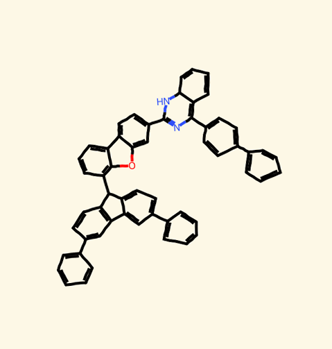 C1=CC2=C(c3ccc(-c4ccccc4)cc3)N=C(c3ccc4c(c3)oc3c(C5c6ccc(-c7ccccc7)cc6-c6cc(-c7ccccc7)ccc65)cccc34)NC2C=C1